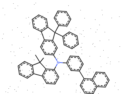 CC1(C)c2ccccc2-c2cccc(N(c3cccc(-c4cccc5ccccc45)c3)c3ccc4c(c3)C(c3ccccc3)(c3ccccc3)c3ccccc3-4)c21